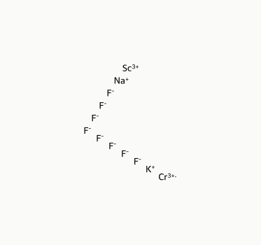 [Cr+3].[F-].[F-].[F-].[F-].[F-].[F-].[F-].[F-].[K+].[Na+].[Sc+3]